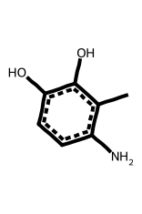 Cc1c(N)ccc(O)c1O